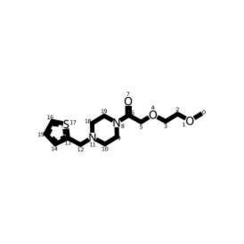 COCCOCC(=O)N1CCN(Cc2cccs2)CC1